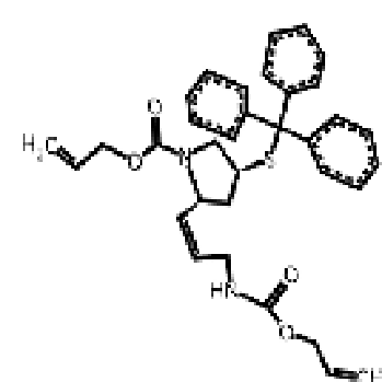 C=CCOC(=O)NC/C=C\[C@@H]1C[C@H](SC(c2ccccc2)(c2ccccc2)c2ccccc2)CN1C(=O)OCC=C